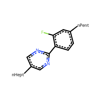 CCCCCCCc1cnc(-c2ccc(CCCCC)cc2F)nc1